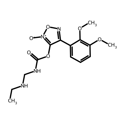 CCNCNC(=O)Oc1c(-c2cccc(OC)c2OC)no[n+]1[O-]